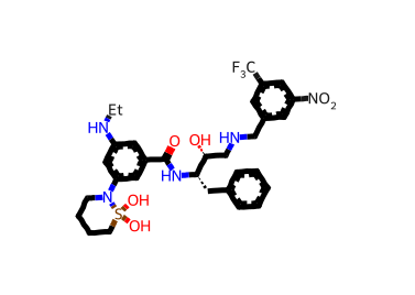 CCNc1cc(C(=O)N[C@@H](Cc2ccccc2)[C@H](O)CNCc2cc([N+](=O)[O-])cc(C(F)(F)F)c2)cc(N2CCCCS2(O)O)c1